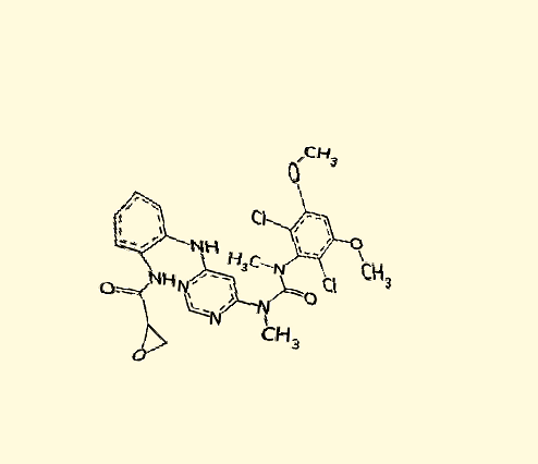 COc1cc(OC)c(Cl)c(N(C)C(=O)N(C)c2cc(Nc3ccccc3NC(=O)C3CO3)ncn2)c1Cl